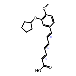 COc1ccc(/C=C/C=C/C=C/C(=O)O)cc1OC1CCCC1